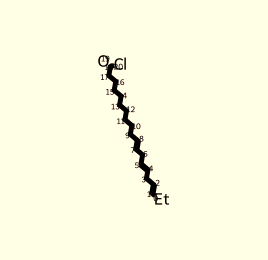 CC/C=C/C/C=C/C/C=C/CCCCCCCCCC(=O)Cl